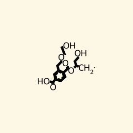 [CH2]C(CCO)OC(=O)c1ccc(C(=O)O)cc1CCOCCO